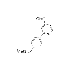 COCc1ccc(-c2cccc(C=O)c2)cc1